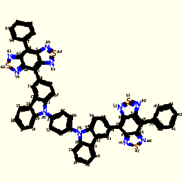 c1ccc(-c2c3c(c(-c4ccc5c(c4)c4ccccc4n5-c4ccc(-n5c6ccccc6c6cc(-c7c8c(c(-c9ccccc9)c9nsnc79)N=S=N8)ccc65)cc4)c4nsnc24)N=S=N3)cc1